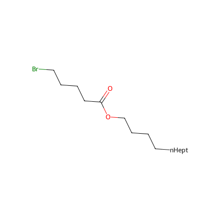 CCCCCCCCCCCOC(=O)CCCCBr